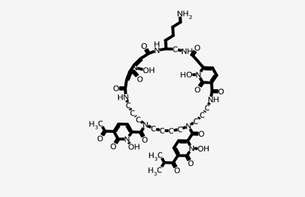 CC(=O)c1ccc(C(=O)N2CCCCN(C(=O)c3ccc(C(=O)C(C)C)c(=O)n3O)CCCNC(=O)c3ccc(n(O)c3=O)C(=O)NCC(CCCCN)NC(=O)c3ccc(c(=O)n3O)C(=O)NCCC2)n(O)c1=O